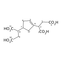 O=C(O)CC(C(=O)O)C1=CCC(C(CC(=O)O)C(=O)O)C1